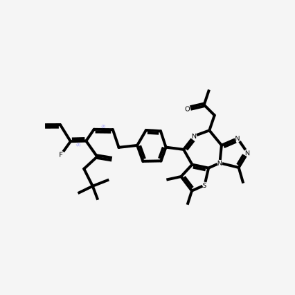 C=C/C(F)=C(\C=C/Cc1ccc(C2=NC(CC(C)=O)c3nnc(C)n3-c3sc(C)c(C)c32)cc1)C(=C)CC(C)(C)C